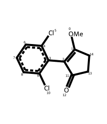 COC1=C(c2c(Cl)cccc2Cl)C(=O)CC1